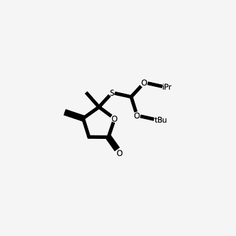 C=C1CC(=O)OC1(C)SC(OC(C)C)OC(C)(C)C